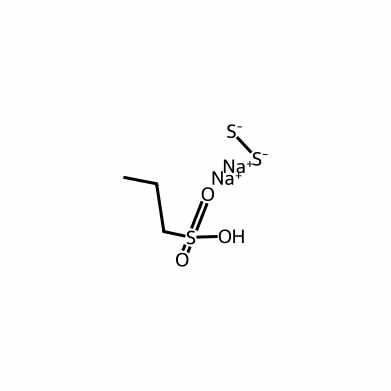 CCCS(=O)(=O)O.[Na+].[Na+].[S-][S-]